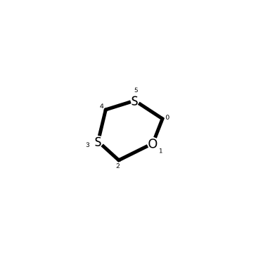 [CH]1OCSCS1